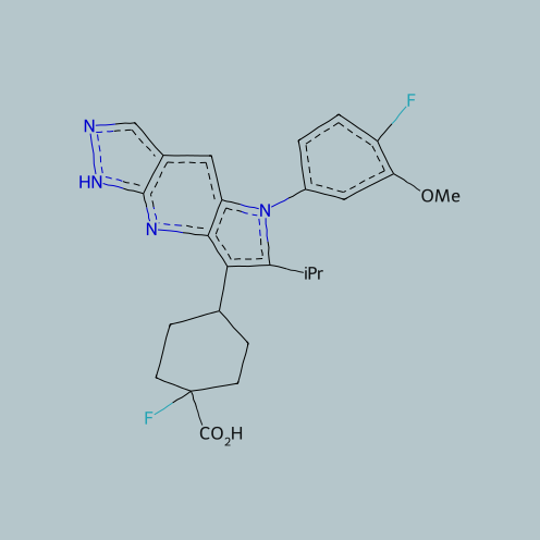 COc1cc(-n2c(C(C)C)c(C3CCC(F)(C(=O)O)CC3)c3nc4[nH]ncc4cc32)ccc1F